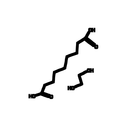 O=C(O)CCCCCCCC(=O)O.OCCO